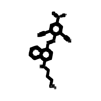 CCCCNc1ccc(N=Nc2c(C#N)cc([N+](=O)[O-])cc2C#N)c2ccccc12